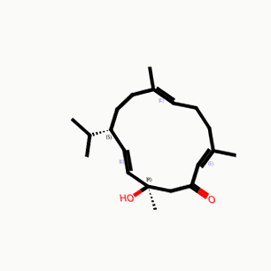 C/C1=C\C(=O)C[C@@](C)(O)/C=C/[C@H](C(C)C)CC/C(C)=C/CC1